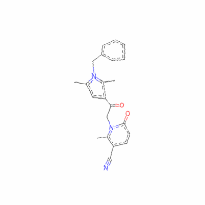 Cc1cc(C(=O)Cn2c(C)c(C#N)ccc2=O)c(C)n1Cc1ccccc1